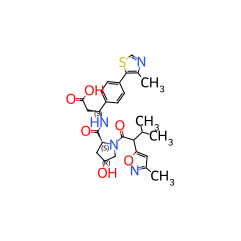 Cc1cc(C(C(=O)N2C[C@H](O)C[C@H]2C(=O)N[C@@H](CC(=O)O)c2ccc(-c3scnc3C)cc2)C(C)C)on1